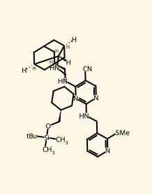 CSc1ncccc1CNc1ncc(C#N)c(NC[C@]23CC4C[C@H](C2)[C@@H](NC[C@H]2CC[C@H](CO[Si](C)(C)C(C)(C)C)CC2)[C@@H](C4)C3)n1